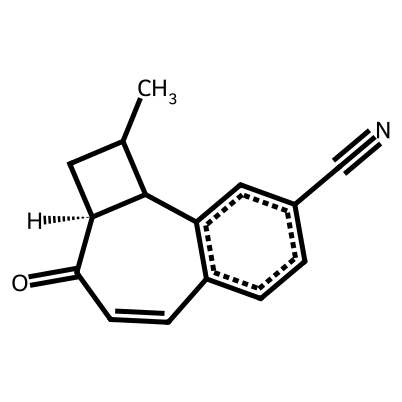 CC1C[C@@H]2C(=O)C=Cc3ccc(C#N)cc3C12